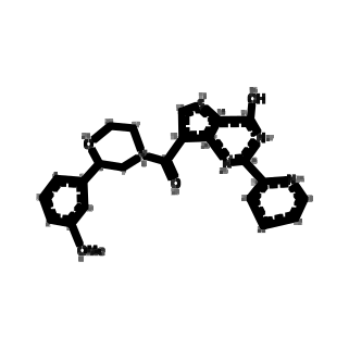 COc1cccc(C2CN(C(=O)c3csc4c(O)nc(-c5ccccn5)nc34)CCO2)c1